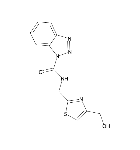 O=C(NCc1nc(CO)cs1)n1nnc2ccccc21